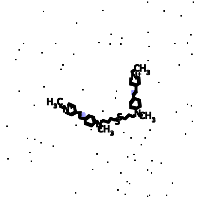 CC[n+]1ccc(/C=C/c2ccc(N(C)CCCSSCCCN(C)c3ccc(/C=C/c4cc[n+](CC)cc4)cc3)cc2)cc1